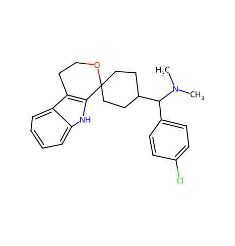 CN(C)C(c1ccc(Cl)cc1)C1CCC2(CC1)OCCc1c2[nH]c2ccccc12